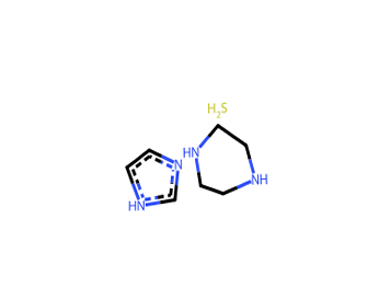 C1CNCCN1.S.c1c[nH]cn1